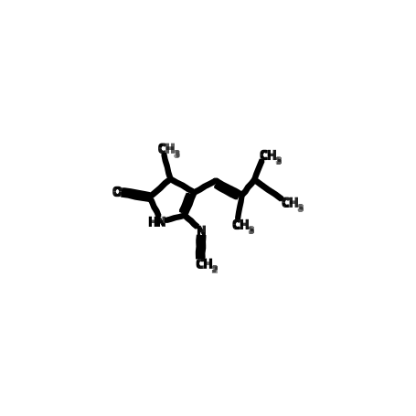 C=NC1=C(/C=C(\C)C(C)C)C(C)C(=O)N1